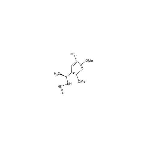 COc1cc(OC)c([C@H](C)N[SH]=O)cc1C#N